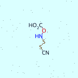 N#CSSNOC(=O)O